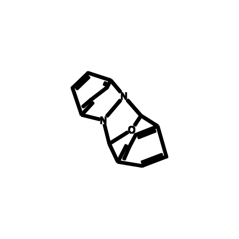 c1cc2ccc1C1OC2N2c3ccc(cc3)N12